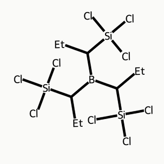 CCC(B(C(CC)[Si](Cl)(Cl)Cl)C(CC)[Si](Cl)(Cl)Cl)[Si](Cl)(Cl)Cl